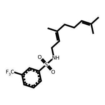 CC(C)=CCC/C(C)=C/CNS(=O)(=O)c1cccc(C(F)(F)F)c1